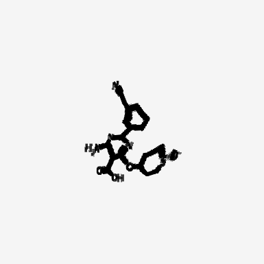 N#Cc1cccc(-c2nc(N)c(C(=O)O)c(OC3CC[S+]([O-])CC3)n2)c1